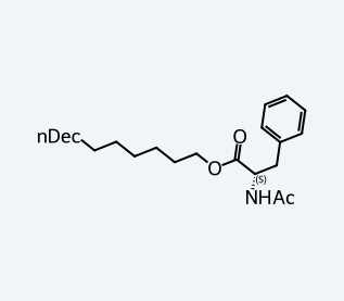 CCCCCCCCCCCCCCCCOC(=O)[C@H](Cc1ccccc1)NC(C)=O